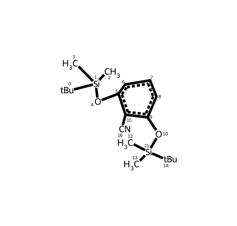 CC(C)(C)[Si](C)(C)Oc1cccc(O[Si](C)(C)C(C)(C)C)c1C#N